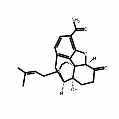 CC(C)=CCN1CC[C@]23c4c5ccc(C(N)=O)c4O[C@H]2C(=O)CC[C@@]3(O)[C@H]1C5